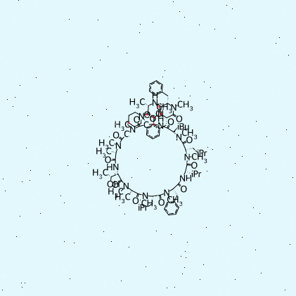 CC[C@H](C)[C@H]1C(=O)N[C@H](C(=O)N(C)[C@@H](Cc2ccccc2)C(=O)N(C)[C@@H](Cc2ccccc2)C(=O)N[C@@H](C)C(=O)N2CCCCC2)CC(=O)N(C)CC(=O)N(C)[C@@H](C)C(=O)N[C@@H]([C@@H](C)O)C(=O)N(C)[C@@H](C)C(=O)N(C)[C@@H](CC(C)C)C(=O)N(C)[C@@H](Cc2ccccc2)C(=O)N[C@@H](C(C)C)C(=O)N(C)[C@@H](CC(C)C)C(=O)N1C